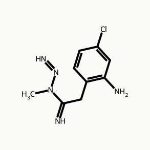 CN(N=N)C(=N)Cc1ccc(Cl)cc1N